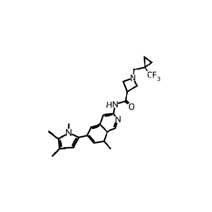 Cc1cc(C2=CC(C)C3C=NC(NC(=O)C4CN(CC5(C(F)(F)F)CC5)C4)=CC3=C2)n(C)c1C